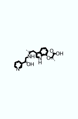 C[C@H](Cc1c[nH]c2c(O[C@@H](C)C(=O)O)cccc12)NC[C@H](O)c1cccnc1